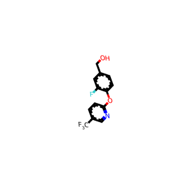 OCc1ccc(Oc2ccc(C(F)(F)F)cn2)c(F)c1